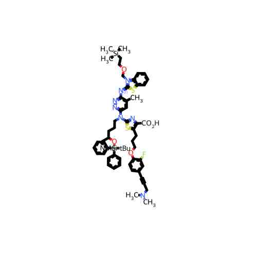 CNCC(CCCN(c1cc(C)c(/N=c2\sc3ccccc3n2COCC[Si](C)(C)C)nn1)c1nc(C(=O)O)c(CCCOc2ccc(C#CCN(C)C)cc2F)s1)O[Si](c1ccccc1)(c1ccccc1)C(C)(C)C